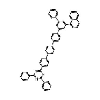 c1ccc(-c2cc(-c3ccc(-c4ccc(-c5ccc(-c6nc(-c7ccccc7)nc(-c7ccccc7)n6)cc5)cc4)cc3)cc(-c3cccc4ccccc34)c2)cc1